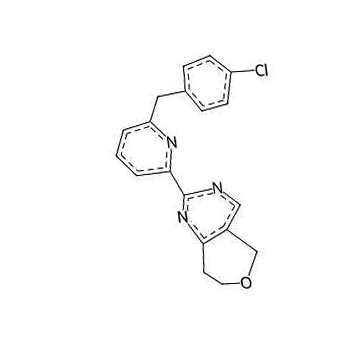 Clc1ccc(Cc2cccc(-c3ncc4c(n3)CCOC4)n2)cc1